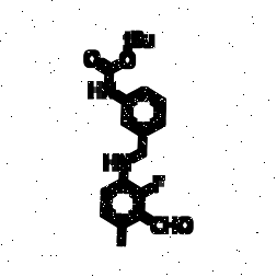 Cc1ccc(NCc2cccc(NC(=O)OC(C)(C)C)c2)c(F)c1C=O